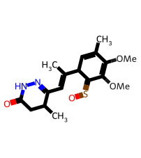 COC1=C(OC)C(=S=O)C(C(C)=CC2=NNC(=O)CC2C)C=C1C